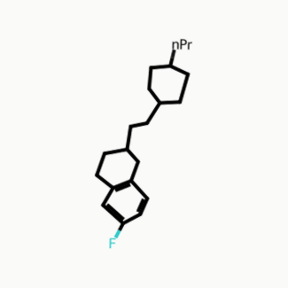 CCCC1CCC(CCC2CCc3cc(F)ccc3C2)CC1